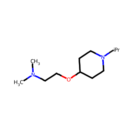 CC(C)N1CCC(OCCN(C)C)CC1